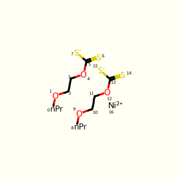 CCCOCCOC(=S)[S-].CCCOCCOC(=S)[S-].[Ni+2]